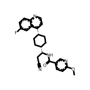 COc1ccc(C(=O)NC(CC#N)[C@H]2CC[C@@H](c3ccnc4ccc(F)cc43)CC2)cn1